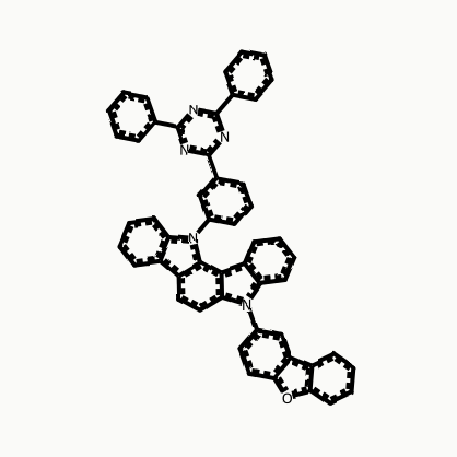 c1ccc(-c2nc(-c3ccccc3)nc(-c3cccc(-n4c5ccccc5c5ccc6c(c7ccccc7n6-c6ccc7oc8ccccc8c7c6)c54)c3)n2)cc1